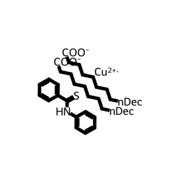 CCCCCCCCCCCCCCCCCC(=O)[O-].CCCCCCCCCCCCCCCCCC(=O)[O-].S=C(Nc1ccccc1)c1ccccc1.[Cu+2]